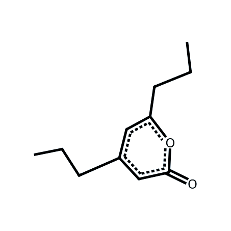 CCCc1cc(CCC)oc(=O)c1